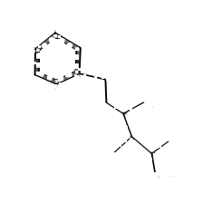 CCCCCCC(O)C(O)C(O)CCc1ccccc1